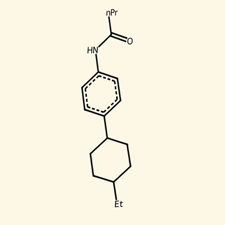 CCCC(=O)Nc1ccc(C2CCC(CC)CC2)cc1